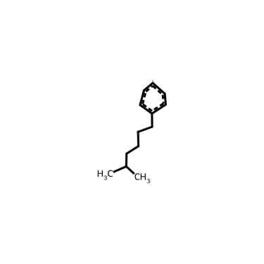 CC(C)CCCCc1cc[c]cc1